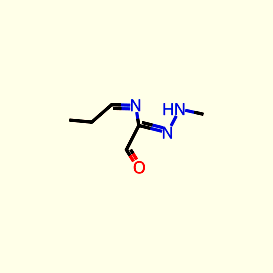 CC/C=N\C(C=O)=N/NC